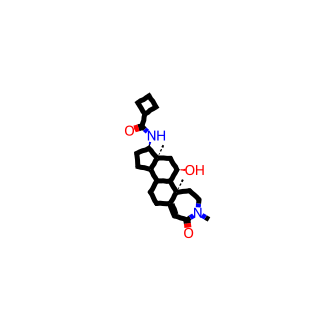 CN1CC[C@@]2(C)C(=CC1=O)CCC1C2[C@@H](O)C[C@@]2(C)C1CC[C@@H]2NC(=O)C1CCC1